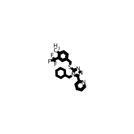 Cc1ccc(CSc2nnc(-c3ccccn3)n2CC2CCCCC2)cc1C(F)(F)F